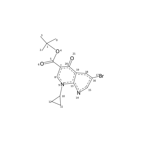 CC(C)(C)OC(=O)c1cn(C2CC2)c2ncc(Br)cc2c1=O